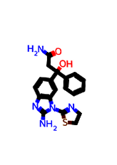 NC(=O)CC(O)(c1ccccc1)c1ccc2nc(N)n(C3=NCCS3)c2c1